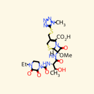 CCN1CCN(C(=O)N[C@H](C(=O)N[C@]2(OC)C(=O)N3C(C(=O)O)=C(CSc4nnnn4C)CS[C@@H]32)[C@@H](C)O)C(=O)C1=O